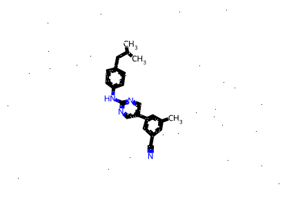 Cc1cc(C#N)cc(-c2cnc(Nc3ccc(CC(C)C)cc3)nc2)c1